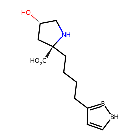 O=C(O)[C@@]1(CCCCC2=BBC=C2)C[C@H](O)CN1